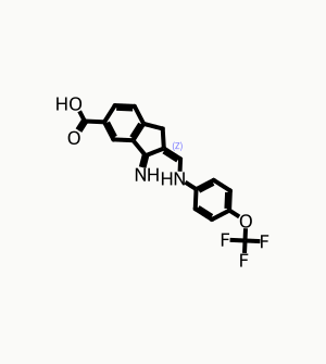 N=C1/C(=C\Nc2ccc(OC(F)(F)F)cc2)Cc2ccc(C(=O)O)cc21